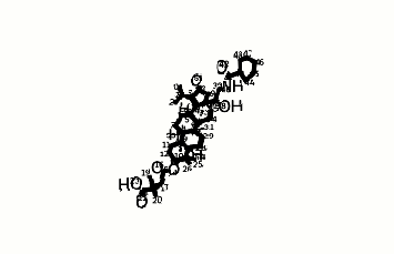 CC(C)C1=C2[C@H]3CC[C@@H]4[C@@]5(C)CC[C@H](OC(=O)CC(C)(C)C(=O)O)C(C)(C)[C@@H]5CC[C@@]4(C)[C@]3(C)CC[C@@]2([C@@H](O)CNC(=O)C2CCCCC2)CC1=O